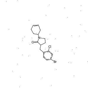 O=C1C(Cc2ccc(Br)cc2Cl)CCN1C1CC=CCC1